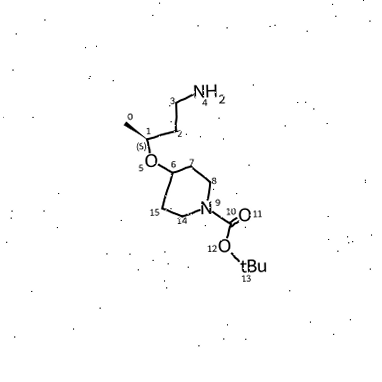 C[C@@H](CCN)OC1CCN(C(=O)OC(C)(C)C)CC1